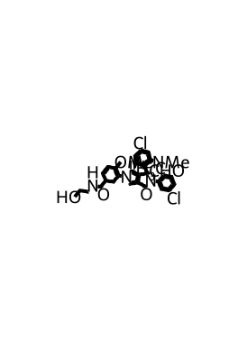 CNc1cc(Cl)ccc1C1(C=O)c2c(cn(C3=C(OC)C=CC(C(=O)NCCO)C3)c2C(C)C)C(=O)N1c1cc(Cl)ccc1C